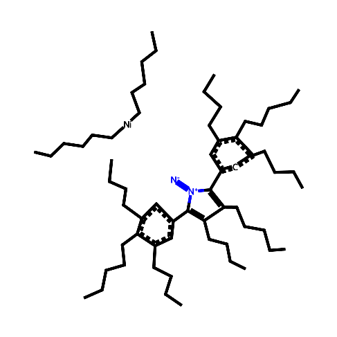 CCCCCC1=C(c2cc(CCCC)c(CCCCC)c(CCCC)c2)[N+](=[N-])C(c2cc(CCCC)c(CCCCC)c(CCCC)c2)=C1CCCC.CCCCC[CH2][Ni][CH2]CCCCC